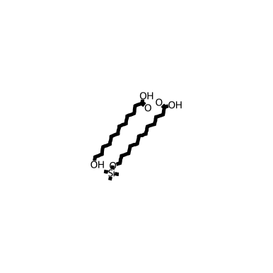 C[Si](C)(C)OCCCCCCCCCCCC(=O)O.O=C(O)CCCCCCCCCCCO